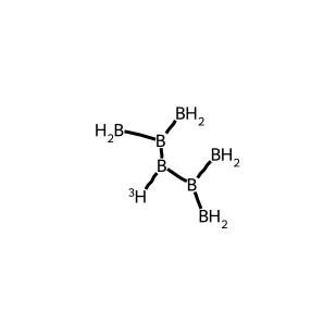 [3H]B(B(B)B)B(B)B